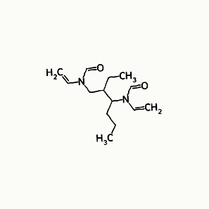 C=CN(C=O)CC(CC)C(CCC)N(C=C)C=O